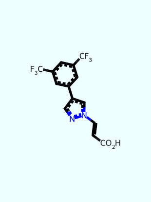 O=C(O)C=Cn1cc(-c2cc(C(F)(F)F)cc(C(F)(F)F)c2)cn1